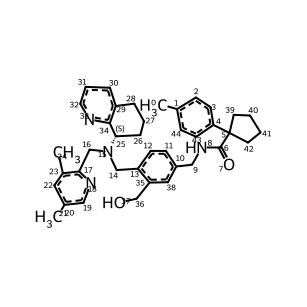 Cc1ccc(C2(C(=O)NCc3ccc(CN(Cc4ncc(C)cc4C)[C@H]4CCCc5cccnc54)c(CO)c3)CCCC2)cc1